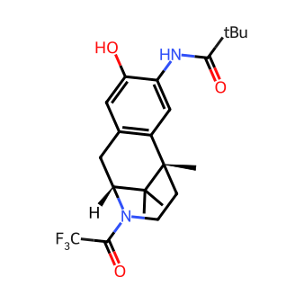 CC(C)(C)C(=O)Nc1cc2c(cc1O)C[C@H]1N(C(=O)C(F)(F)F)CC[C@]2(C)C1(C)C